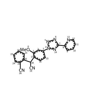 COc1cc(-n2nnc(-c3ccccn3)n2)ccc1C(C#N)c1ccccc1C#N